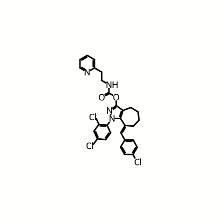 O=C(NCCc1ccccn1)Oc1nn(-c2ccc(Cl)cc2Cl)c2c1CCCC/C2=C\c1ccc(Cl)cc1